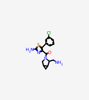 NCC1C2CC2CN1C(=O)c1nc(N)sc1-c1cccc(Cl)c1